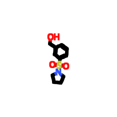 O=S(=O)(c1cccc(CO)c1)N1CCCC1